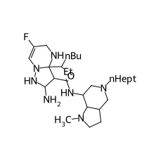 CCCCCCCN1CC2CCN(C)C2C(NC(=O)C2C(N)NN3C=C(F)CNC23C(CC)CCCC)C1